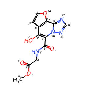 COC(=O)CNC(=O)c1c(O)c2ccoc2c2ncnn12